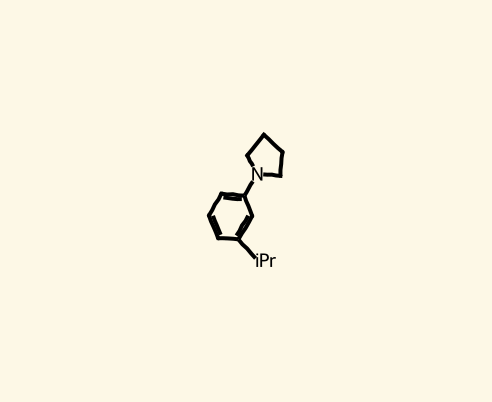 CC(C)c1cccc(N2CCCC2)c1